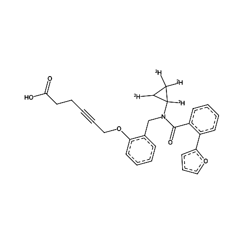 [2H]C1C([2H])([2H])C1([2H])N(Cc1ccccc1OCC#CCCC(=O)O)C(=O)c1ccccc1-c1ccco1